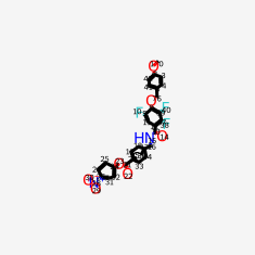 COc1ccc(COc2c(F)cc(C(=O)NCC34CCC(C(=O)Oc5ccc([N+](=O)[O-])cc5)(CC3)CC4)c(F)c2F)cc1